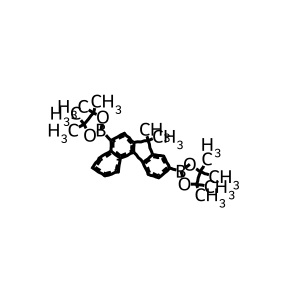 CC1(C)c2cc(B3OC(C)(C)C(C)(C)O3)ccc2-c2c1cc(B1OC(C)(C)C(C)(C)O1)c1ccccc21